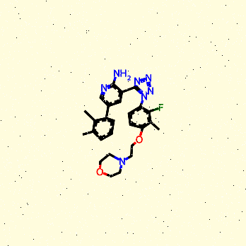 Cc1cccc(-c2cnc(N)c(-c3nnnn3-c3ccc(OCCN4CCOCC4)c(C)c3F)c2)c1C